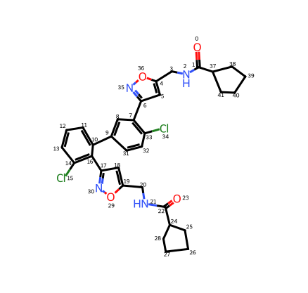 O=C(NCc1cc(-c2cc(-c3cccc(Cl)c3-c3cc(CNC(=O)C4CCCC4)on3)ccc2Cl)no1)C1CCCC1